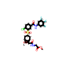 COC(=O)CNC(=O)C[C@@]1(O)C2C[C@@H](S(=O)(=O)c3cc(C(=O)Nc4cc(F)c(F)c(F)c4)ccc3Cl)CC1[C@@H](C)C2